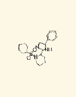 O=S(=O)(C1CCCCC1)N1CCCCC1c1ncc(-c2ccccc2)[nH]1